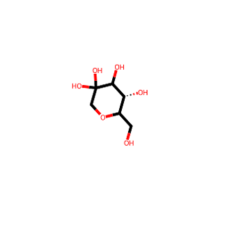 OCC1OCC(O)(O)C(O)[C@@H]1O